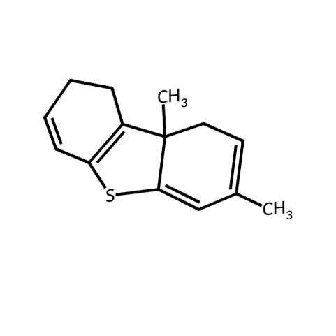 CC1=CCC2(C)C(=C1)SC1=C2CCC=C1